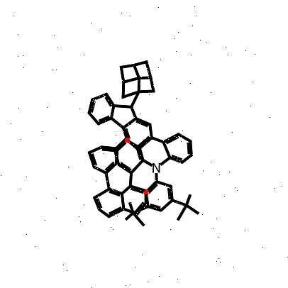 CC(C)(C)c1cc(N(c2ccccc2-c2ccc3c(c2)C(C24CC5CC6CC(C2)C654)c2ccccc2-3)c2ccccc2-c2cccc3cccc(-c4ccccc4)c23)cc(C(C)(C)C)c1